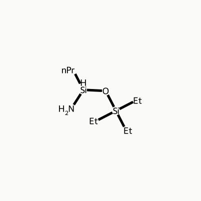 CCC[SiH](N)O[Si](CC)(CC)CC